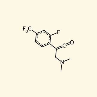 CN(C)CC(=C=O)c1ccc(C(F)(F)F)cc1F